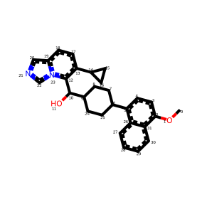 COc1ccc(C2CCC(C(O)c3c(C4CC4)ccc4cncn34)CC2)c2ccccc12